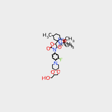 CC(=O)[N@@H+]([O-])C1(C2CN(c3ccc(N4CCC5(CC4)OCC(CO)O5)c(F)c3)C(=O)O2)CC(C)CCC1C(C)C